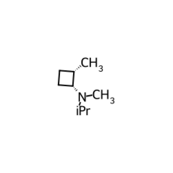 CC(C)N(C)[C@@H]1CC[C@@H]1C